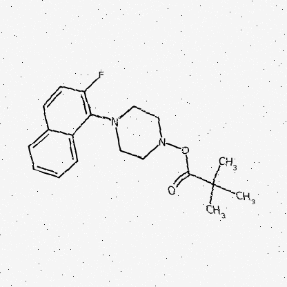 CC(C)(C)C(=O)ON1CCN(c2c(F)ccc3ccccc23)CC1